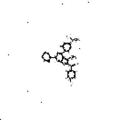 CN(C)c1ccc(-c2cc(-c3ccccc3)nc3sc(C(=O)c4ccc(Cl)cc4)c(N)c23)cc1